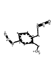 CCc1cc(N=C=O)ccc1CN=C=O